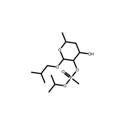 CC(C)COC1OC(C)CC(O)C1OP(C)(=O)OC(C)C